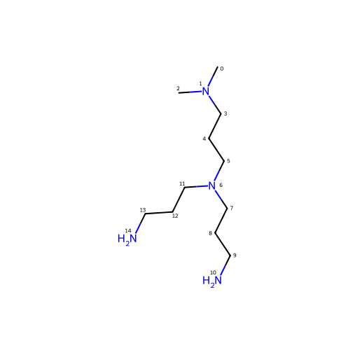 CN(C)CCCN(CCCN)CCCN